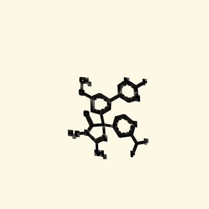 COc1cc(-c2cnc(F)nc2)cc(C2(c3ccnc(C(F)F)c3)N=C(N)N(C)C2=O)c1